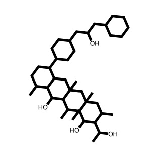 CC(O)C1C(C)CC2(C)CC3(C)CC4C(C5CCC(CC(O)CC6CCCCC6)CC5)CCC(C)C4C(O)C3C(C)C2(C)C1O